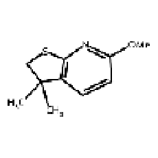 COc1ccc2c(n1)SCC2(C)C